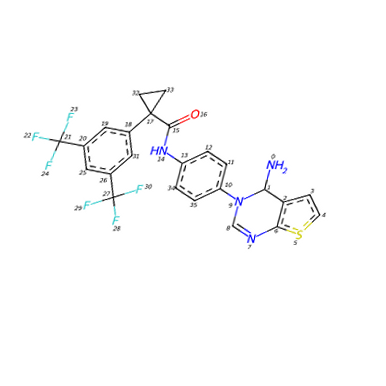 NC1c2ccsc2N=CN1c1ccc(NC(=O)C2(c3cc(C(F)(F)F)cc(C(F)(F)F)c3)CC2)cc1